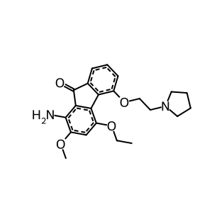 CCOc1cc(OC)c(N)c2c1-c1c(OCCN3CCCC3)cccc1C2=O